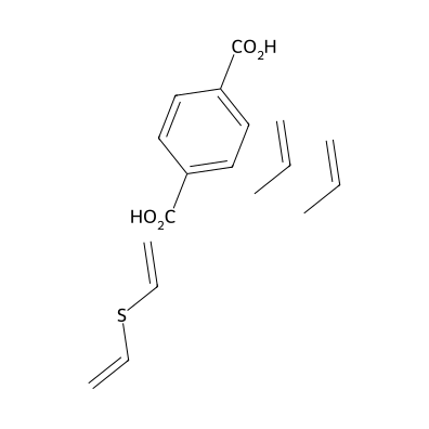 C=CC.C=CC.C=CSC=C.O=C(O)c1ccc(C(=O)O)cc1